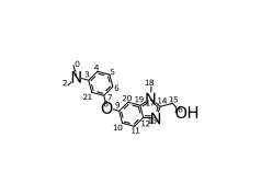 CN(C)c1cccc(Oc2ccc3nc(CO)n(C)c3c2)c1